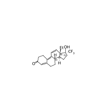 CC[C@]12C=CC3=C4CCC(=O)C=C4CC[C@H]3[C@@H]1CC[C@@]2(O)C(F)(F)F